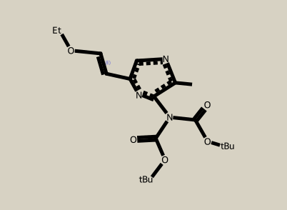 CCO/C=C/c1cnc(C)c(N(C(=O)OC(C)(C)C)C(=O)OC(C)(C)C)n1